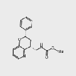 CC(C)(C)OC(=O)NC[C@H]1C[C@@H](c2ccccc2)Oc2cccnc21